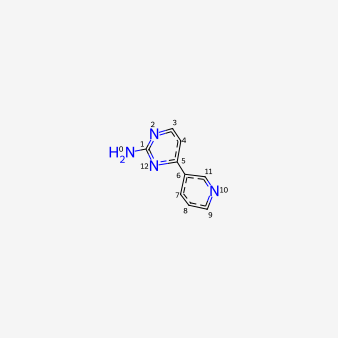 Nc1nccc(-c2cccnc2)n1